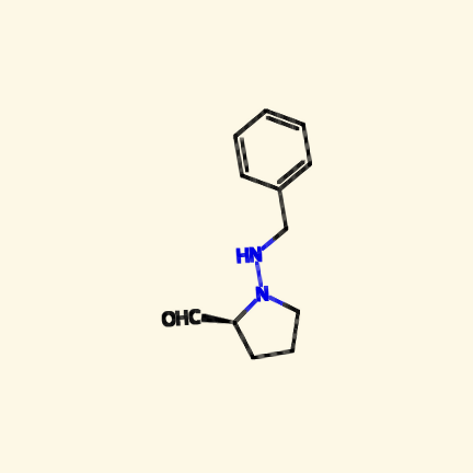 O=C[C@@H]1CCCN1NCc1ccccc1